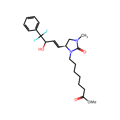 COC(=O)CCCCCCN1C(=O)N(C)C[C@@H]1/C=C/C(O)C(F)(F)c1ccccc1